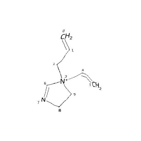 C=CC[N+]1(C=C)C=NCC1